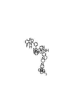 COc1cc2c(cc1Nc1nccc(-c3c(-c4cccc(C(=O)Nc5c(F)cccc5F)c4)nc4ccccn34)n1)CCC1CC(N3CCN(S(C)(=O)=O)CC3)CCN21